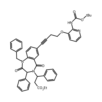 CCOC(=O)CC(c1ccccc1)N1C(=O)c2cc(C#CCCOc3cccnc3NC(=O)OC(C)(C)C)ccc2N(Cc2ccccc2)C(=O)C1c1ccccc1